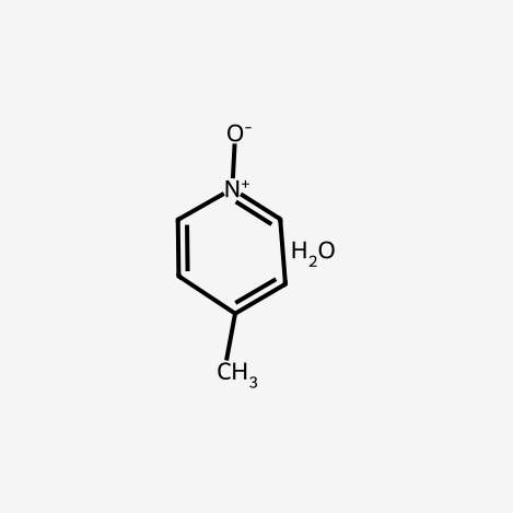 Cc1cc[n+]([O-])cc1.O